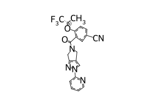 C[C@H](Oc1ccc(C#N)cc1C(=O)N1Cc2cn(-c3ccccn3)nc2C1)C(F)(F)F